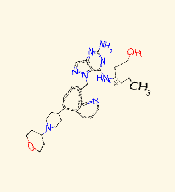 CCC[C@@H](CCO)Nc1nc(N)nc2cnn(Cc3ccc(C4CCN(C5CCOCC5)CC4)c4cccnc34)c12